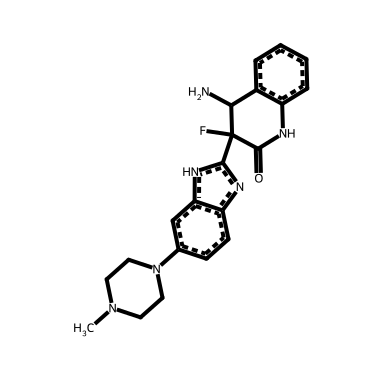 CN1CCN(c2ccc3nc(C4(F)C(=O)Nc5ccccc5C4N)[nH]c3c2)CC1